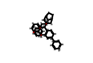 c1ccc(CCN2C3CCC2CC(C2c4ccccc4Oc4cc(-c5ccncc5)ccc42)C3)cc1